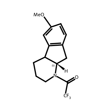 COc1ccc2c(c1)C1CCCN(C(=O)C(F)(F)F)[C@H]1C2